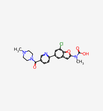 CN1CCN(C(=O)c2ccc(-c3cc(Cl)c4oc(N(C)C(=O)O)cc4c3)nc2)CC1